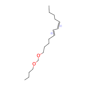 CCCC/C=C\C=C\CCCCOCOCCCC